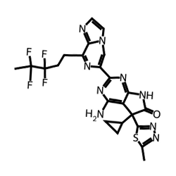 Cc1nnc(C2(C3CC3)C(=O)Nc3nc(-c4cn5ccnc5c(CCC(F)(F)C(C)(F)F)n4)nc(N)c32)s1